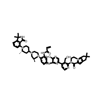 C=CC(=O)Nc1cc(Nc2nc(-c3ccnc(N4CCn5c(cc6c5CC(C)(C)C6)C4=O)c3CO)cnc2OC)ccc1N1CCN(C2CCN(c3cccc4c3C(=O)NC4(C)C)[C@@H](C)C2)C[C@@H]1C